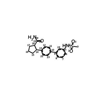 CS(=O)(=O)Nc1cccc(-c2ccc(C3CCCC3C(N)=O)cc2)c1